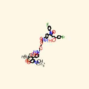 CCCCC1(CC)CS(=O)(=O)c2ccc(N(C)C)cc2C(c2cccc(NCCOCCOCC(=O)NCc3ccc(C4C(CCC(O)c5ccc(F)cc5)C(=O)N4c4ccc(F)cc4)cc3)c2)C1O